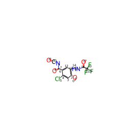 COc1cc(Cl)c(C(=O)N=C=O)cc1CNC(=O)C(F)(F)F